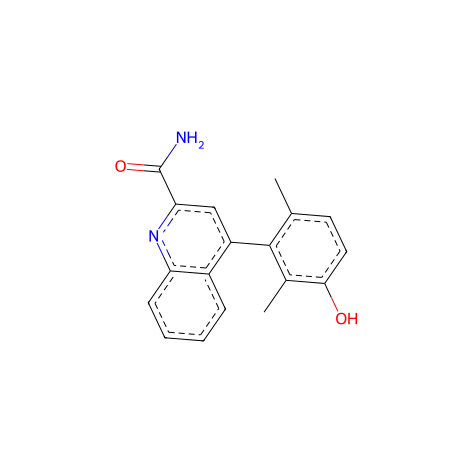 Cc1ccc(O)c(C)c1-c1cc(C(N)=O)nc2ccccc12